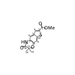 COC(=O)c1cc2cc3c(cc2s1)OC(C)(C)C(=O)N3